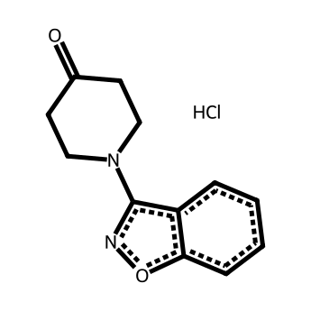 Cl.O=C1CCN(c2noc3ccccc23)CC1